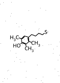 Cc1cc(CCCC[S])c(C)c(C)c1O